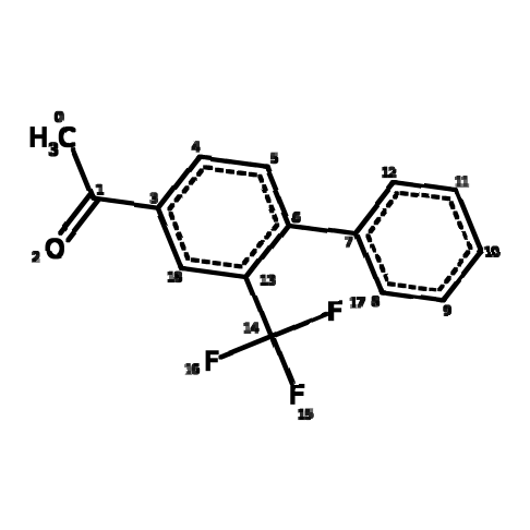 CC(=O)c1ccc(-c2ccccc2)c(C(F)(F)F)c1